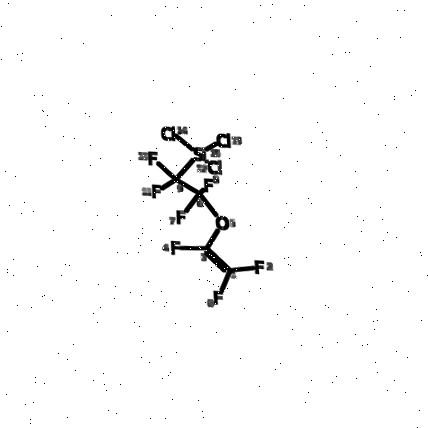 FC(F)=C(F)OC(F)(F)C(F)(F)[Si](Cl)(Cl)Cl